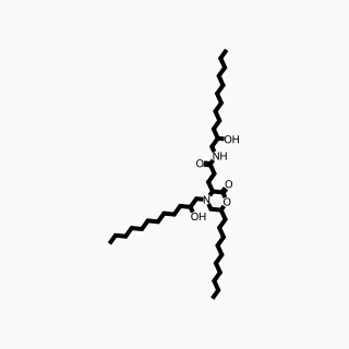 CCCCCCCCCCC(O)CNC(=O)CCC1C(=O)OC(CCCCCCCCCC)CN1CC(O)CCCCCCCCCC